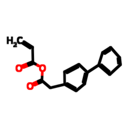 C=CC(=O)OC(=O)Cc1ccc(-c2ccccc2)cc1